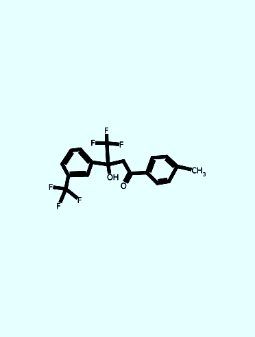 Cc1ccc(C(=O)CC(O)(c2cccc(C(F)(F)F)c2)C(F)(F)F)cc1